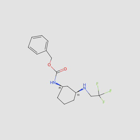 O=C(N[C@@H]1CCC[C@H](NCC(F)(F)F)C1)OCc1ccccc1